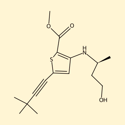 COC(=O)c1sc(C#CC(C)(C)C)cc1N[C@@H](C)CCO